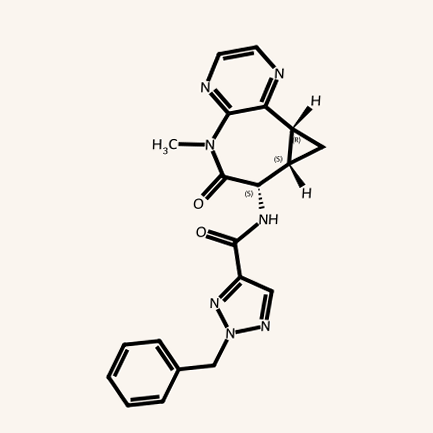 CN1C(=O)[C@@H](NC(=O)c2cnn(Cc3ccccc3)n2)[C@H]2C[C@H]2c2nccnc21